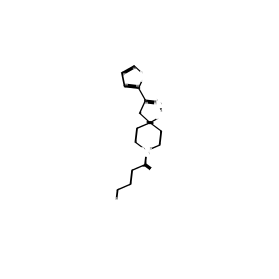 CCCCC(=O)N1CCC2(CC1)CC(c1cccs1)=NO2